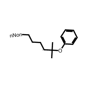 CCCCCCCCCCCC[CH]C(C)(C)Oc1ccccc1